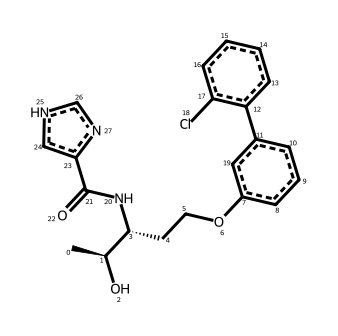 C[C@H](O)[C@@H](CCOc1cccc(-c2ccccc2Cl)c1)NC(=O)c1c[nH]cn1